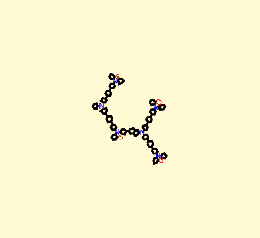 c1ccc(N(c2ccc(-c3ccc(-c4ccc(N5c6ccccc6Sc6ccccc65)cc4)cc3)cc2)c2ccc(-c3ccc(-c4ccc(N5c6ccccc6Sc6cc(-c7ccc8cc(N(c9ccc(-c%10ccc(-c%11ccc(N%12c%13ccccc%13Oc%13ccccc%13%12)cc%11)cc%10)cc9)c9ccc(-c%10ccc(-c%11ccc(N%12c%13ccccc%13Oc%13ccccc%13%12)cc%11)cc%10)cc9)ccc8c7)ccc65)cc4)cc3)cc2)cc1